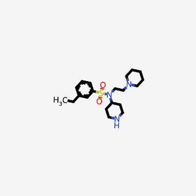 CCc1cccc(S(=O)(=O)N(CCN2CCCCC2)C2CCNCC2)c1